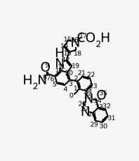 Cc1c(-c2ccc(C(N)=O)c3[nH]c(C4=CCN(C(=O)O)C4)cc23)cccc1-n1cnc2ccccc2c1=O